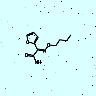 CCCCO/N=C(/C([NH])=O)c1ccco1